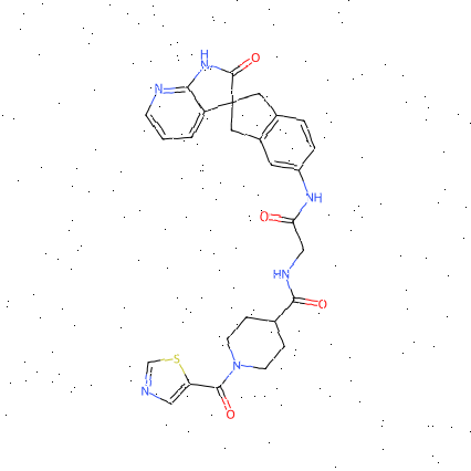 O=C(CNC(=O)C1CCN(C(=O)c2cncs2)CC1)Nc1ccc2c(c1)CC1(C2)C(=O)Nc2ncccc21